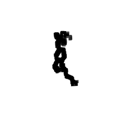 CS(=O)(=O)Oc1ccc2c(ccn2CCCBr)c1